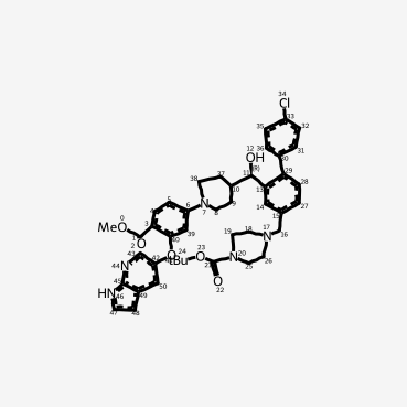 COC(=O)c1ccc(N2CCC([C@@H](O)c3cc(CN4CCN(C(=O)OC(C)(C)C)CC4)ccc3-c3ccc(Cl)cc3)CC2)cc1Oc1cnc2[nH]ccc2c1